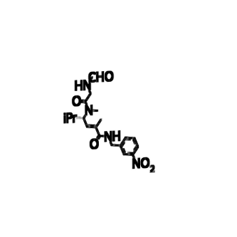 C/C(=C\[C@H](C(C)C)N(C)C(=O)CNC=O)C(=O)NCc1cccc([N+](=O)[O-])c1